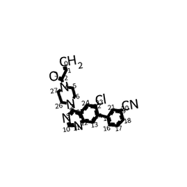 C=CC(=O)N1CCN(c2ncnc3cc(-c4cccc(C#N)c4)c(Cl)cc23)CC1